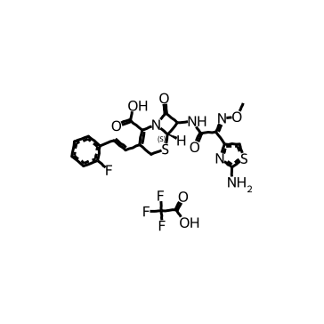 CON=C(C(=O)NC1C(=O)N2C(C(=O)O)=C(C=Cc3ccccc3F)CS[C@@H]12)c1csc(N)n1.O=C(O)C(F)(F)F